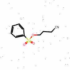 N#CCCCOS(=O)(=O)c1ccccc1